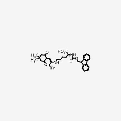 CC(C)CC(=CC1C(=O)CC(C)(C)CC1=O)NCCCC[C@H](NC(=O)OCC1c2ccccc2-c2ccccc21)C(=O)O